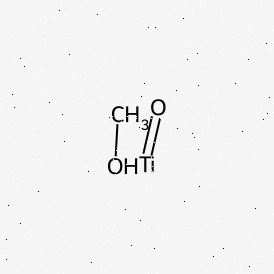 CO.[O]=[Ti]